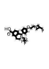 O=C(O)c1ccc2c(c1)CCN(CC(F)(F)F)[C@H]2c1ccc(OCCN2CC(CF)C2)cc1